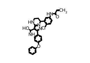 C=CC(=O)Nc1ccc(Cl)c(C2CCNc3c(C(N)O)c(-c4ccc(Oc5ccccc5)cc4)nn32)c1